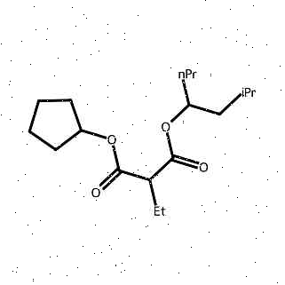 CCCC(CC(C)C)OC(=O)C(CC)C(=O)OC1CCCC1